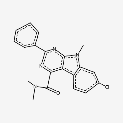 CN(C)C(=O)c1nc(-c2ccccc2)nc2c1c1ccc(Cl)cc1n2C